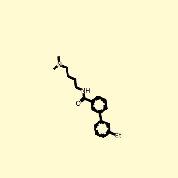 CCc1cccc(-c2cccc(C(=O)NCCCCN(C)C)c2)c1